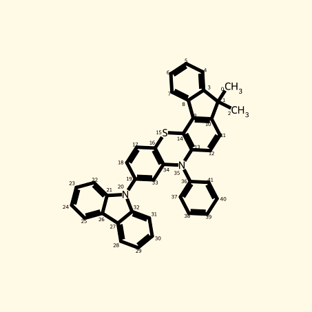 CC1(C)c2ccccc2-c2c1ccc1c2Sc2ccc(-n3c4ccccc4c4ccccc43)cc2N1c1ccccc1